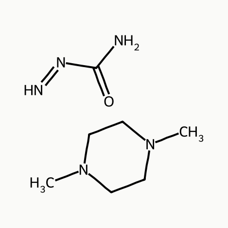 CN1CCN(C)CC1.N=NC(N)=O